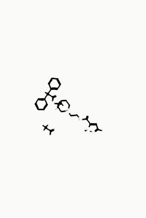 Cc1cc(C(=O)NCC[N+]23CCC(CC2)[C@@H](OC(=O)C(O)(c2ccccc2)c2ccccc2)C3)n(C)n1.O=C([O-])C(F)(F)F